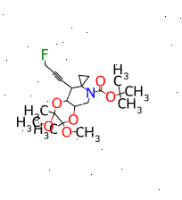 COC1(C)OC2CN(C(=O)OC(C)(C)C)C3(CC3)C(C#CCF)C2OC1(C)OC